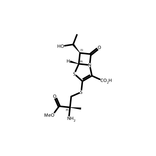 COC(=O)[C@@](C)(N)CSC1=C(C(=O)O)N2C(=O)[C@H](C(C)O)[C@H]2S1